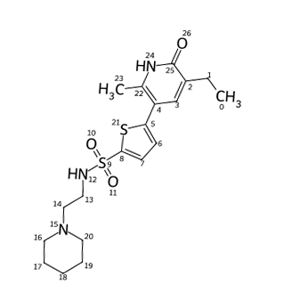 CCc1cc(-c2ccc(S(=O)(=O)NCCN3CCCCC3)s2)c(C)[nH]c1=O